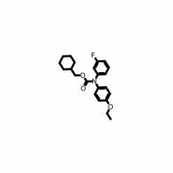 CCOc1ccc(N(C(=O)OCC2CCCCC2)c2cccc(F)c2)cc1